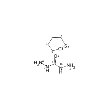 C1CCSCC1.NNC(=O)NN